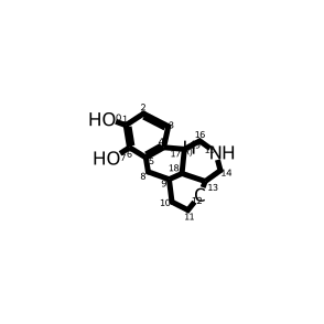 Oc1ccc2c(c1O)CC1CCCC3CNC[C@@H]2C31